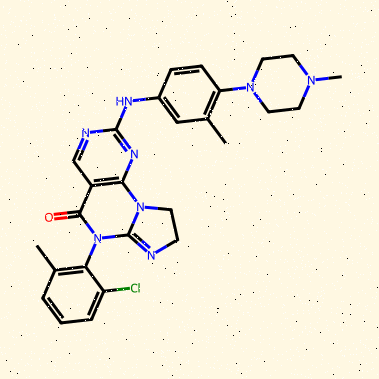 Cc1cc(Nc2ncc3c(n2)N2CCN=C2N(c2c(C)cccc2Cl)C3=O)ccc1N1CCN(C)CC1